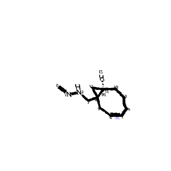 C=NNCC12C/C=C\CCC[C@@H]1C2